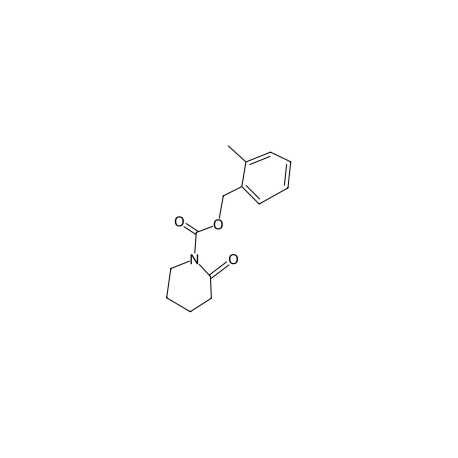 Cc1ccccc1COC(=O)N1CCCCC1=O